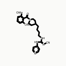 COc1cccc(OC)c1C(=O)N1CCC(CCCCN/C(=N\C#N)Nc2ccncc2)CC1